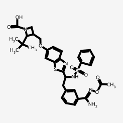 CC(=O)ON=C(N)c1cccc(CC(NS(=O)(=O)c2ccccc2)c2nc3ccc(OCC4CN(C(=O)O)C4C(C)(C)C)cc3s2)c1